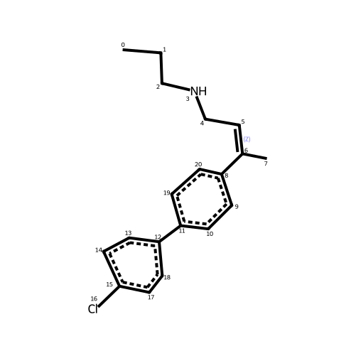 CCCNC/C=C(/C)c1ccc(-c2ccc(Cl)cc2)cc1